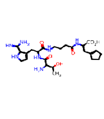 CC(O)C(N)C(=O)NC(CC1=CCNC1C(=N)N)C(=O)NCCCC(=O)NC(CC1=CCCC1)C(=O)O